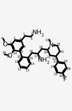 COc1cc(CCN)cc(-c2ccccc2CC(N)CC2CC(c3ccc(F)cc3)CCN2C)c1OC